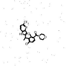 CC(c1cc2nc(C(F)(F)F)ccc2[nH]1)c1c(Cl)ccc(C(=O)N2CCOCC2)c1Cl